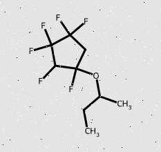 CCC(C)OC1(F)CC(F)(F)C(F)(F)C1F